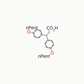 CCCCCOc1ccc(C(CC(=O)O)c2ccc(OCCCCC)cc2)cc1